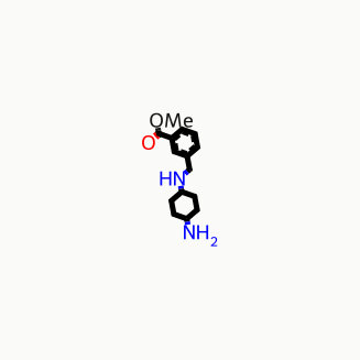 COC(=O)c1cccc(CNC2CCC(N)CC2)c1